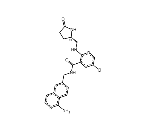 Nc1nccc2cc(CNC(=O)c3cc(Cl)cnc3NC[C@H]3CCC(=O)N3)ccc12